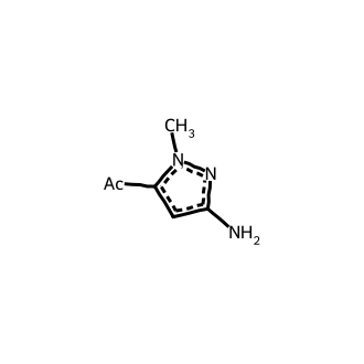 CC(=O)c1cc(N)nn1C